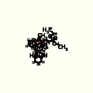 CCOP(=O)(/C=C/c1nc2ccccc2n([C@H]2C[C@H]3CCC[C@@H](C2)N3[C@H]2C[C@@H]3C[C@@H](C)C[C@@H](C3)C2)c1=O)OCC